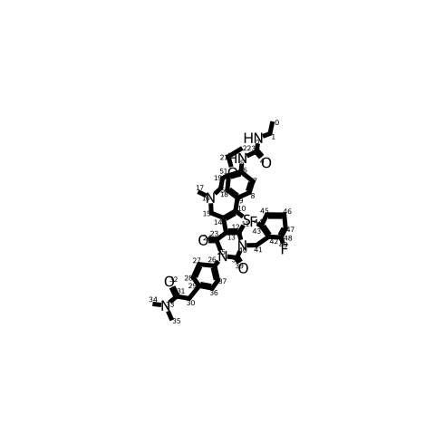 CCNC(=O)Nc1ccc(-c2sc3c(c2CN(C)CCOCC)c(=O)n(-c2ccc(CC(=O)N(C)C)cc2)c(=O)n3Cc2c(F)cccc2F)cc1